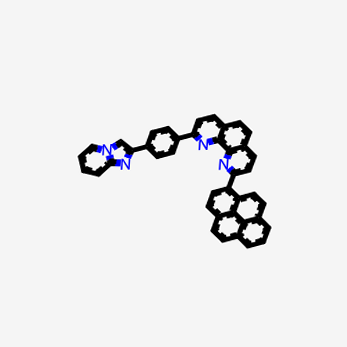 c1cc2ccc3ccc(-c4ccc5ccc6ccc(-c7ccc(-c8cn9ccccc9n8)cc7)nc6c5n4)c4ccc(c1)c2c34